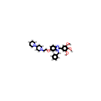 COc1cc(-c2nc3ccc(OCCN4CCC(N5CCCCC5)CC4)cc3n2Cc2ccccc2)cc(OC)c1OC